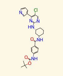 CC(C)(C)OC(=O)Nc1ccc(C(=O)NC2CCC[C@@H](Nc3ncc(Cl)c(-c4cccnc4)n3)C2)cc1